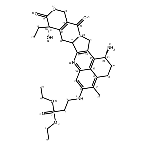 CCOP(=O)(CCNc1cc2nc3c(c4c2c(c1C)CC[C@@H]4N)CN1C(=O)C2=C(CC31)[C@@](O)(CC)C(=O)OC2)OCC